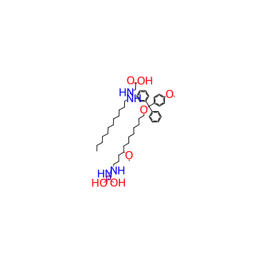 CCCCCCCCCCCCNNCC(=O)O.COc1ccc(C(OCCCCCCCCC(CCCNNP(O)O)OC)(c2ccccc2)c2ccccc2)cc1